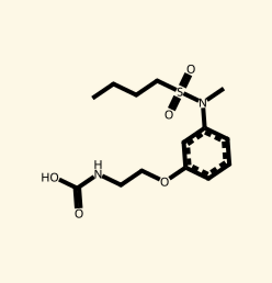 CCCCS(=O)(=O)N(C)c1cccc(OCCNC(=O)O)c1